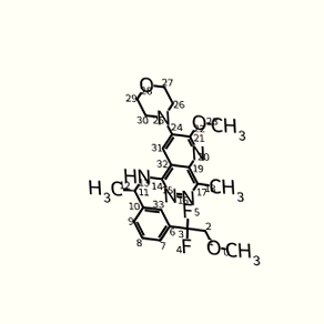 COCC(F)(F)c1cccc([C@@H](C)Nc2nnc(C)c3nc(OC)c(N4CCOCC4)cc23)c1